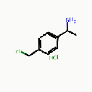 CC(N)c1ccc(CCl)cc1.Cl